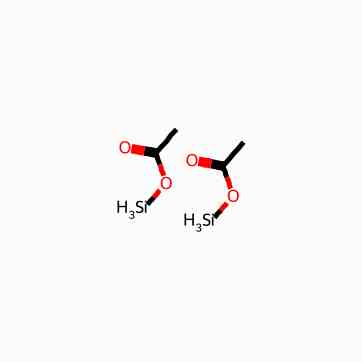 CC(=O)O[SiH3].CC(=O)O[SiH3]